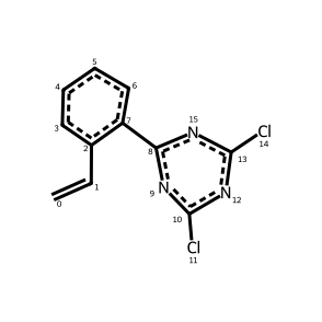 C=Cc1ccccc1-c1nc(Cl)nc(Cl)n1